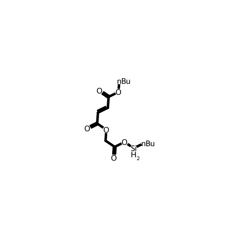 CCCCOC(=O)C=CC(=O)OCC(=O)O[SiH2]CCCC